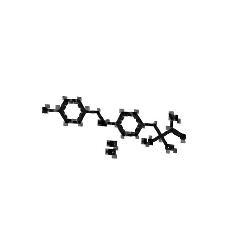 CC(N)(Cc1ccc(NCc2ccc(Br)cc2)cc1)C(N)=O.Cl.Cl